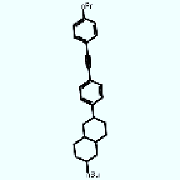 CCCCC1CCC2CC(c3ccc(C#Cc4ccc(CCC)cc4)cc3)CCC2C1